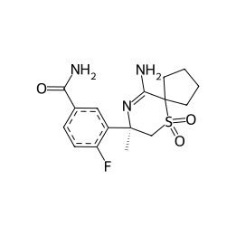 C[C@@]1(c2cc(C(N)=O)ccc2F)CS(=O)(=O)C2(CCCC2)C(N)=N1